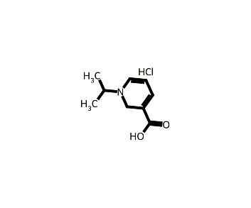 CC(C)N1C=CC=C(C(=O)O)C1.Cl